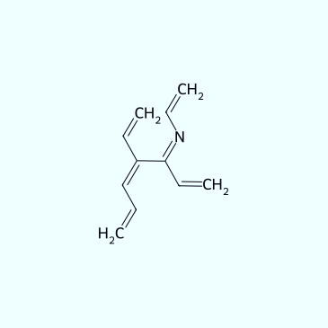 C=C/C=C(C=C)\C(C=C)=N/C=C